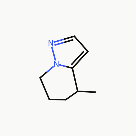 CC1CCCn2nccc21